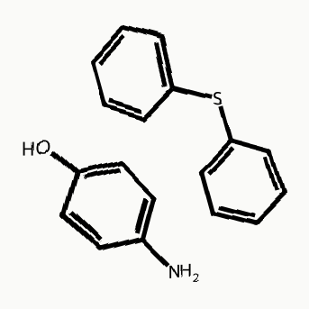 Nc1ccc(O)cc1.c1ccc(Sc2ccccc2)cc1